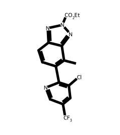 CCOC(=O)n1nc2ccc(-c3ncc(C(F)(F)F)cc3Cl)c(C)c2n1